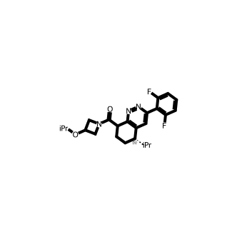 CC(C)OC1CN(C(=O)C2CC[C@@H](C(C)C)c3cc(-c4c(F)cccc4F)nnc32)C1